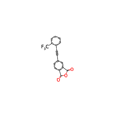 O=C1OC(=O)c2cc(C#Cc3ccccc3C(F)(F)F)ccc21